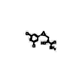 NC(=O)N(O)C[C@@H]1C[C@H]1c1cc(Cl)nc(Cl)c1